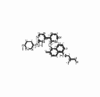 Cc1ccc2c(NCC(F)CF)cccc2c1Oc1ncccc1-c1ccnc(N[C@H]2CCCNC2)n1